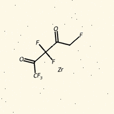 O=C(CF)C(F)(F)C(=O)C(F)(F)F.[Zr]